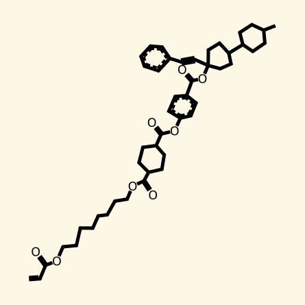 C=CC(=O)OCCCCCCCCOC(=O)C1CCC(C(=O)Oc2ccc(C(=O)OC3(C#Cc4ccccc4)CCC(C4CCC(C)CC4)CC3)cc2)CC1